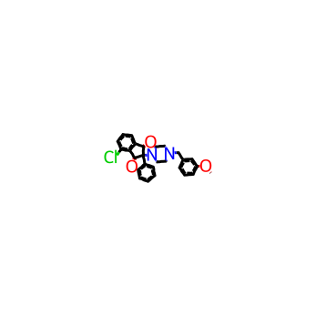 COc1cccc(CN2CCN(C3(c4ccccc4)C(=O)c4cccc(Cl)c4C3=O)CC2)c1